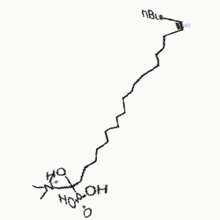 CCCC/C=C\CCCCCCCCCCCCCCCCC(O)(C[N+](C)(C)C)P(=O)(O)O